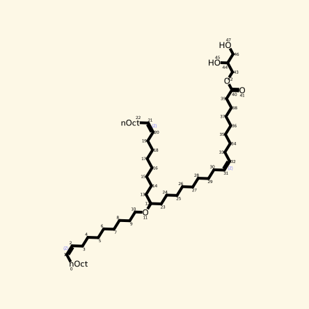 CCCCCCCC/C=C\CCCCCCCCOC(CCCCCCC/C=C\CCCCCCCC)CCCCCCCC/C=C\CCCCCCCC(=O)OCC(O)CO